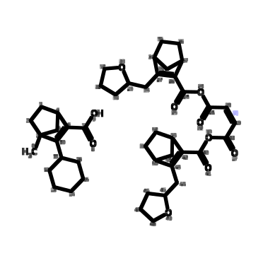 CC12CCC(C1)C(C(=O)O)=C2C1CCCCC1.O=C(/C=C\C(=O)OC(=O)C1=C(CC2CCCO2)C2CCC1C2)OC(=O)C1=C(CC2CCCO2)C2CCC1C2